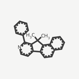 CC1(C)c2c(ccnc2-c2ccccc2)-c2ccc3ccccc3c21